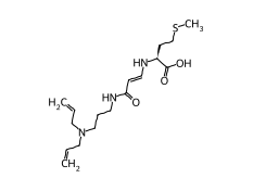 C=CCN(CC=C)CCCNC(=O)C=CN[C@@H](CCSC)C(=O)O